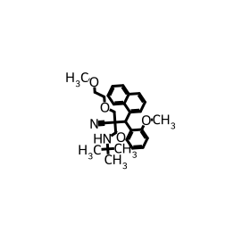 COCCOCC(C#N)(C(=O)NC(C)(C)C)C(c1ccccc1OC)c1cccc2ccccc12